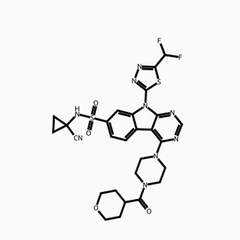 N#CC1(NS(=O)(=O)c2ccc3c4c(N5CCN(C(=O)C6CCOCC6)CC5)ncnc4n(-c4nnc(C(F)F)s4)c3c2)CC1